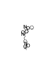 CN(C)Cc1c(OC2C=CCCC2)ccc2c(CCC3CCN(C(=O)OC(C)(C)C)CC3)noc12